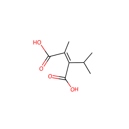 C/C(C(=O)O)=C(/C(=O)O)C(C)C